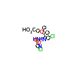 O=C(O)c1ccc(OCC(c2c(CCNS(=O)(=O)Cc3ccc(Cl)nc3)[nH]c3ccc(Cl)cc23)C2(Cc3ccccc3)C=CC=CC2)cc1